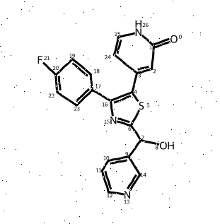 O=c1cc(-c2sc(C(O)c3cccnc3)nc2-c2ccc(F)cc2)cc[nH]1